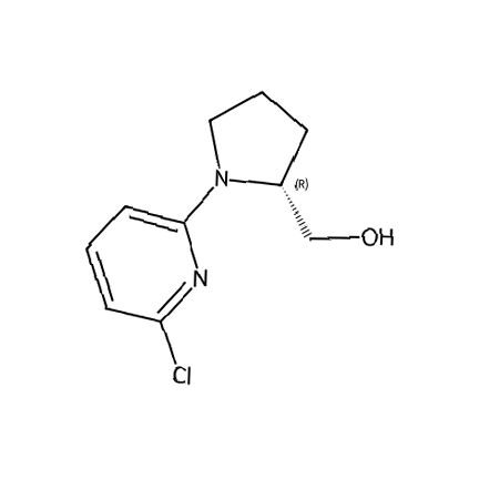 OC[C@H]1CCCN1c1cccc(Cl)n1